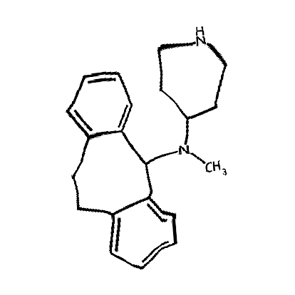 CN(C1CCNCC1)C1c2ccccc2CCc2ccccc21